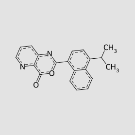 CC(C)c1ccc(-c2nc3cccnc3c(=O)o2)c2ccccc12